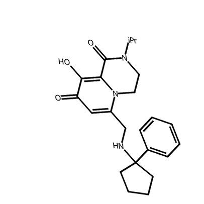 CC(C)N1CCn2c(CNC3(c4ccccc4)CCCC3)cc(=O)c(O)c2C1=O